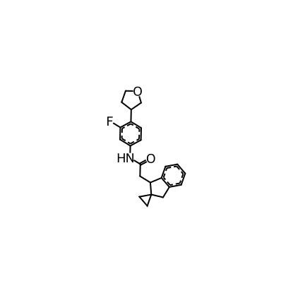 O=C(CC1c2ccccc2CC12CC2)Nc1ccc(C2CCOC2)c(F)c1